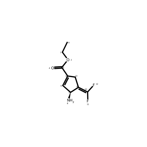 CCOC(=O)C1=C[C@H](N)C(=C(F)F)C1